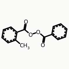 Cc1ccccc1C(=O)OOC(=O)c1ccccc1